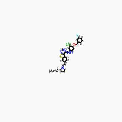 COC[C@H]1CCCN1CCc1ccc2c(c1)sc1ncnc(Nc3ccc(OCc4cccc(F)c4)c(Cl)c3)c12